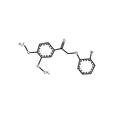 COc1ccc(C(=O)COc2ccccc2Br)cc1OC